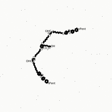 CCCCC[C@H]1CC[C@H](c2ccc(OC(=O)c3ccc(OCCCCCCCCOC(C=O)CC(=O)OCCCCCCCCOc4ccc(OCCCCCCCCOC(=O)CC(C=O)OCCCCCCCCOc5ccc(C(=O)Oc6ccc([C@H]7CC[C@H](CCCCC)CC7)cc6)cc5)c(C(=O)O)c4CCCCCCO)cc3)cc2)CC1